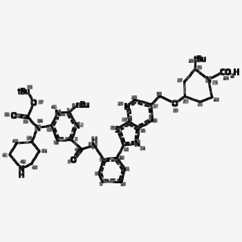 CCCCc1nc(C(=O)Nc2ccccc2-c2nc3cc(COC4CCN(C(=O)O)C(C(C)(C)C)C4)cnc3s2)cc(N(C(=O)OC(C)(C)C)C2CCNCC2)n1